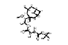 CO[C@@H]([C@H](C)OC(=O)[C@H](C)NC(=O)OC(C)(C)C)C1(C)CC(C)CC2CC(C2)C1